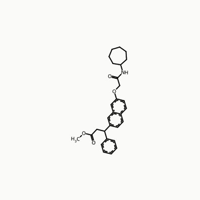 COC(=O)CC(c1ccccc1)c1ccc2ccc(OCC(=O)NC3CCCCCC3)cc2c1